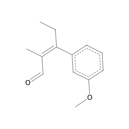 CCC(=C(C)C=O)c1cccc(OC)c1